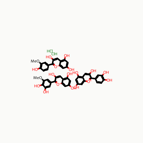 COc1cc(-c2[o+]c3cc(O)cc(O)c3cc2O)cc(O)c1O.COc1cc(-c2[o+]c3cc(O)cc(O)c3cc2O)ccc1O.Cl.Cl.Oc1cc(O)c2cc(O)c(-c3ccc(O)c(O)c3)[o+]c2c1